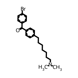 CN(C)CCCCCCCc1ccc(C(=O)c2ccc(Br)cc2)cc1